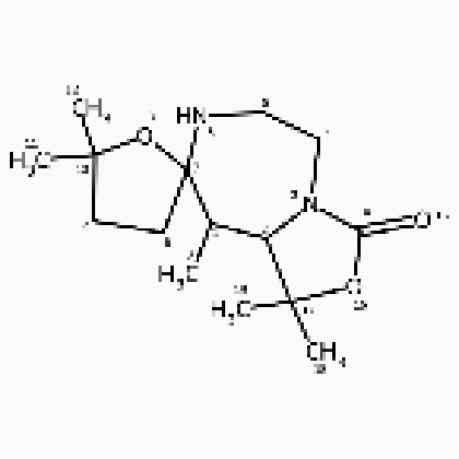 CC1C2N(CCNC13CCC(C)(C)O3)C(=O)OC2(C)C